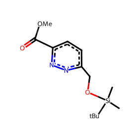 COC(=O)c1ccc(CO[Si](C)(C)C(C)(C)C)nn1